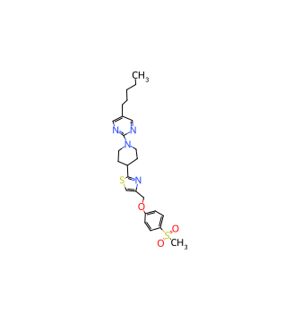 CCCCCc1cnc(N2CCC(c3nc(COc4ccc(S(C)(=O)=O)cc4)cs3)CC2)nc1